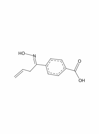 C=CC/C(=N\O)c1ccc(C(=O)O)cc1